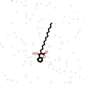 CCCCCCCCCCCCCCc1c(O)c2ccccc2oc1=O